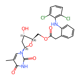 Cc1cn([C@H]2C[C@H](O)[C@@H](COC(=O)Cc3ccccc3Nc3c(Cl)cccc3Cl)O2)c(=O)[nH]c1=O